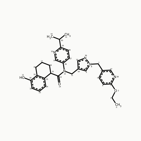 CCOc1ccc(Cn2cc(CN(C(=O)C3CCCc4c(O)cccc43)c3ccc(C(C)C)nc3)cn2)cn1